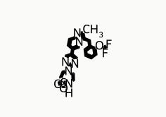 Cc1nc2ccc(-c3cnc(N4CCNS(=O)(=O)CC4)nc3)cn2c1Cc1ccccc1OC(F)F